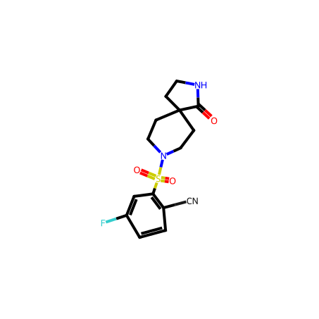 N#Cc1ccc(F)cc1S(=O)(=O)N1CCC2(CCNC2=O)CC1